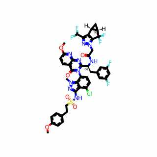 COc1ccc(CCS(=O)(=O)Nc2nn(C)c3c(-n4c([C@H](Cc5cc(F)cc(F)c5)NC(=O)Cn5nc(C(F)F)c6c5C(F)(F)[C@@H]5C[C@H]65)nc5nc(OC)ccc5c4=O)ccc(Cl)c23)cc1